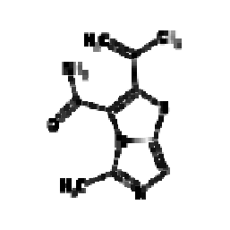 C=C(C)c1sc2cnc(C)n2c1C(N)=O